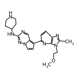 COCCn1c(C)nc2ccc(-c3ccn4nc(NC5CCNCC5)ncc34)nc21